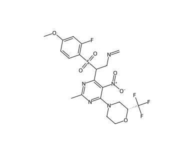 C=NCC(c1nc(C)nc(N2CCO[C@@H](C(F)(F)F)C2)c1[N+](=O)[O-])S(=O)(=O)c1ccc(OC)cc1F